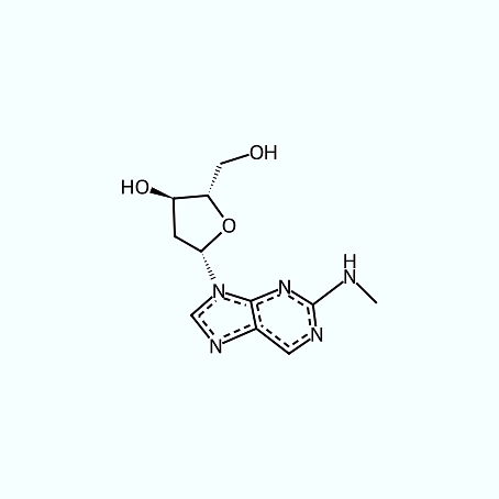 CNc1ncc2ncn([C@@H]3C[C@@H](O)[C@H](CO)O3)c2n1